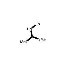 CSC(NC#N)SC